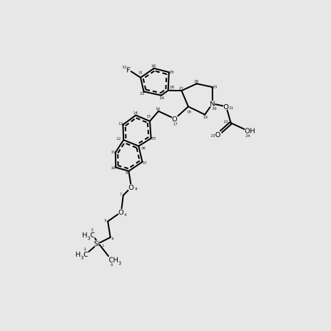 C[Si](C)(C)CCOCOc1ccc2ccc(COC3CN(OC(=O)O)CCC3c3ccc(F)cc3)cc2c1